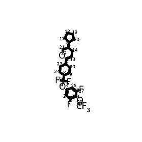 Fc1cc(OC(F)(F)C2CCC(C3CCC(C4CCCC4)CO3)CC2)cc(F)c1OC(F)(F)F